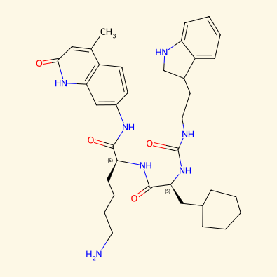 Cc1cc(=O)[nH]c2cc(NC(=O)[C@H](CCCCN)NC(=O)[C@H](CC3CCCCC3)NC(=O)NCCC3CNc4ccccc43)ccc12